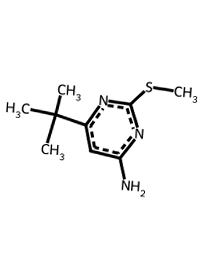 CSc1nc(N)cc(C(C)(C)C)n1